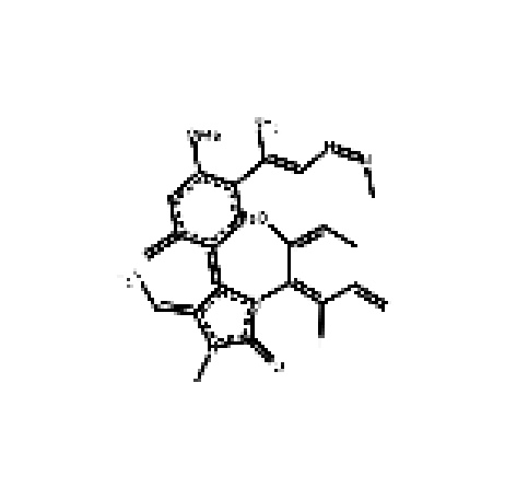 C=C/C(F)=C(\C(=C/C)OC)n1c(=O)n(C)c(=C/N)/c1=c1/cc(/C(N)=C/N=N\C)c(OC)cc1=C